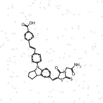 NC(=O)CN1C(=O)/C(=C\c2ccc3c(c2)C2CCCC2N3c2ccc(/C=C/c3ccc(C(=O)O)cc3)cc2)SC1=S